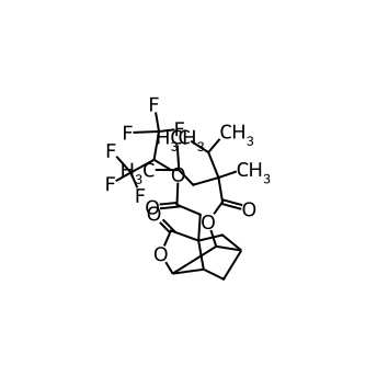 CC(C)CC(C)(C(=O)OC1C2CC3C1OC(=O)C3(CC(=O)OC(C(F)(F)F)C(F)(F)F)C2)C(C)C